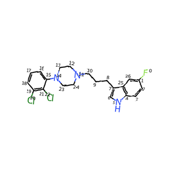 Fc1ccc2[nH]cc(CCCN3CCN(c4cccc(Cl)c4Cl)CC3)c2c1